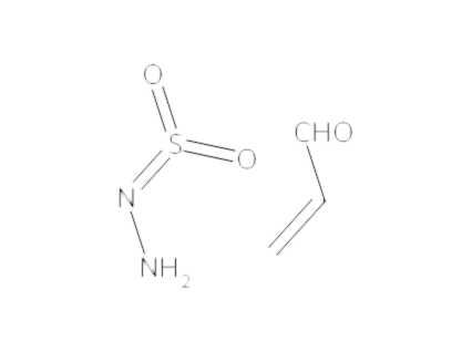 C=CC=O.NN=S(=O)=O